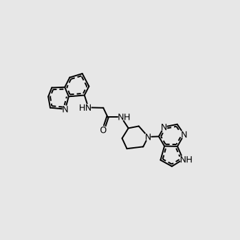 O=C(CNc1cccc2cccnc12)NC1CCCN(c2ncnc3[nH]ccc23)C1